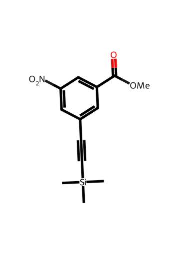 COC(=O)c1cc(C#C[Si](C)(C)C)cc([N+](=O)[O-])c1